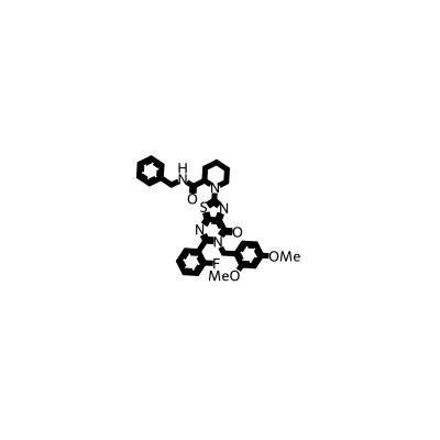 COc1ccc(Cn2c(-c3ccccc3F)nc3sc(N4CCCCC4C(=O)NCc4ccccc4)nc3c2=O)c(OC)c1